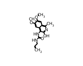 C=CCNC(=O)Nc1c(O)nc(C)c2cc(OC)c(OC)cc12